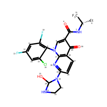 CC[C@H](NC(=O)c1cn(-c2c(F)cc(F)cc2Cl)c2nc(N3CCNC3O)ccc2c1=O)C(F)(F)F